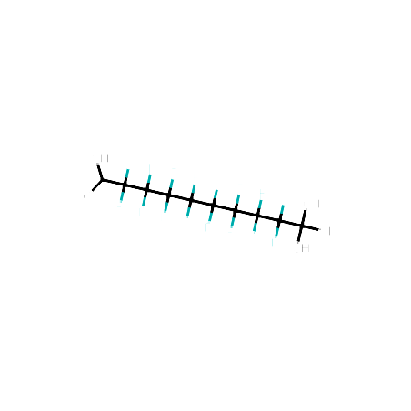 CC(C)C(F)(F)C(F)(F)C(F)(F)C(F)(F)C(F)(F)C(F)(F)C(F)(F)C(F)(F)C(C)(C)C